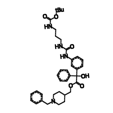 CC(C)(C)OC(=O)NCCCNC(=O)Nc1cccc(C(O)(C(=O)OCC2CCN(Cc3ccccc3)CC2)c2ccccc2)c1